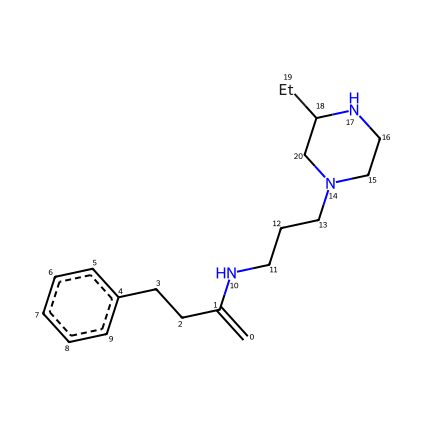 C=C(CCc1ccccc1)NCCCN1CCNC(CC)C1